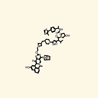 CCc1cccc2cc(O)cc(-c3ncc4c(N5CC6CCC(C5)N6)nc(OCCN5CC(CC6CCN(c7cc(C(C(=O)N8C[C@H](O)C[C@H]8C(=O)NC(C)c8ccc(-c9scnc9C)cc8)C(C)C)on7)CC6)C5)nc4c3F)c12